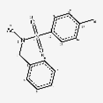 CC(=O)N(Cc1ccccc1)S(=O)(=O)c1ccc(C)cc1